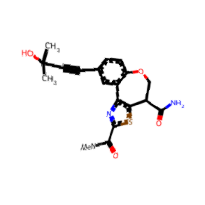 CNC(=O)c1nc2c(s1)C(C(N)=O)COc1ccc(C#CC(C)(C)O)cc1-2